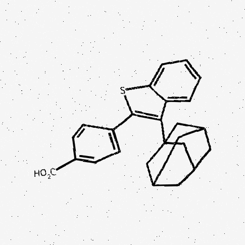 O=C(O)c1ccc(-c2sc3ccccc3c2C23CC4CC(CC(C4)C2)C3)cc1